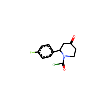 O=C1CCN(C(=O)Cl)C(c2ccc(F)cc2)C1